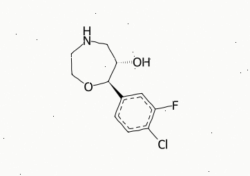 O[C@H]1CNCCO[C@@H]1c1ccc(Cl)c(F)c1